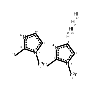 CCCn1ccnc1C.CCCn1ccnc1C.I.I.I.I